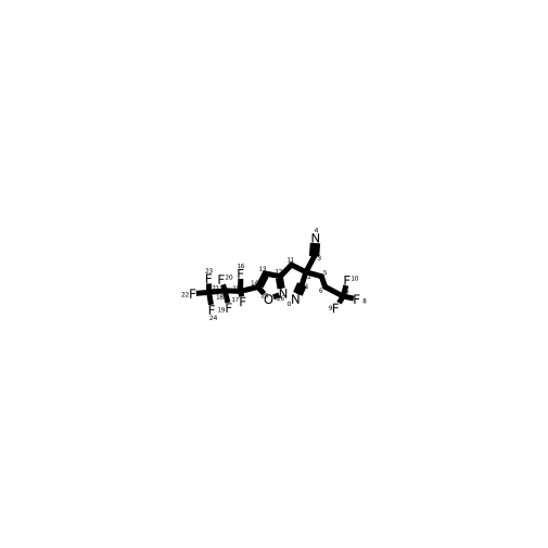 N#CC(C#N)(CCC(F)(F)F)Cc1cc(C(F)(F)C(F)(F)C(F)(F)F)on1